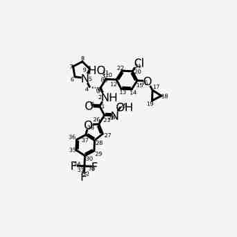 O=C(N[C@H](CN1CCCC1)[C@H](O)c1ccc(OC2CC2)c(Cl)c1)C(=NO)c1cc2cc(C(F)(F)F)ccc2o1